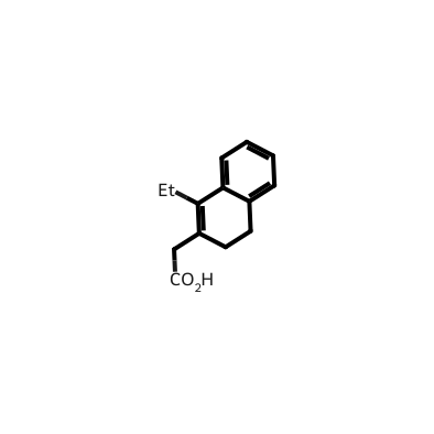 CCC1=C(CC(=O)O)CCc2ccccc21